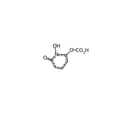 O=C(O)Oc1cccc(=O)n1O